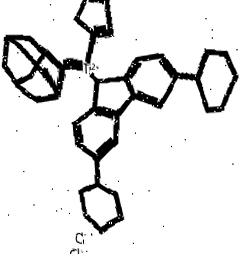 C1=CC[C]([Ti+2](=[C]2C3CC4CC(C3)CC2C4)[CH]2c3ccc(C4CCCCC4)cc3-c3cc(C4CCCCC4)ccc32)=C1.[Cl-].[Cl-]